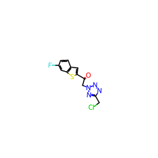 O=C(Cn1nnc(CCl)n1)c1cc2ccc(F)cc2s1